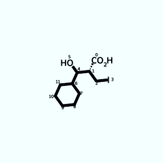 O=C(O)[C@H](CI)C(O)C1CCCCC1